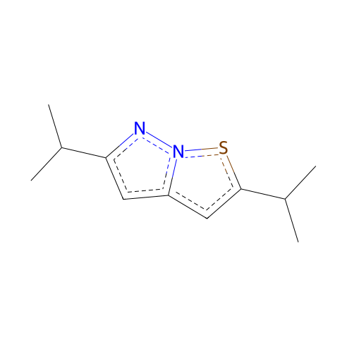 CC(C)c1cc2cc(C(C)C)sn2n1